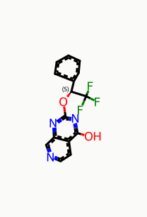 Oc1nc(O[C@@H](c2ccccc2)C(F)(F)F)nc2cnccc12